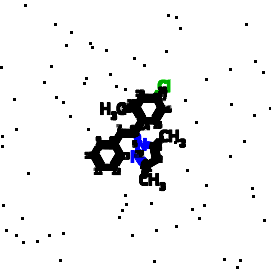 Cc1cc(C)n(C(=Cc2ccccc2)c2ccc(Cl)cc2C)n1